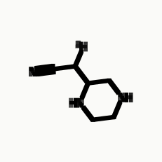 [2H]C(C#N)C1CNCCN1